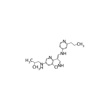 CCCc1cc(N/C=C(\C=N)c2ncc(NCC(C)C)cc2Cl)ccn1